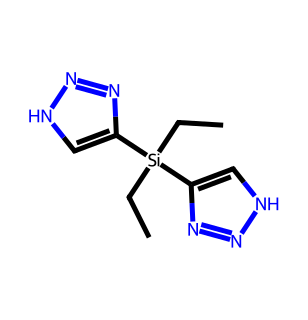 CC[Si](CC)(c1c[nH]nn1)c1c[nH]nn1